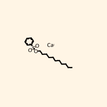 CCCCCCCCCCCOS(=O)(=O)c1ccccc1.[Ca]